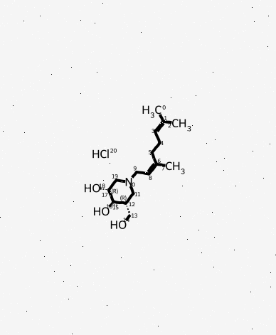 CC(C)=CCCC(C)=CCN1C[C@H](CO)[C@@H](O)[C@H](O)C1.Cl